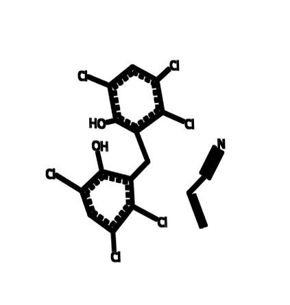 C=CC#N.Oc1c(Cl)cc(Cl)c(Cl)c1Cc1c(O)c(Cl)cc(Cl)c1Cl